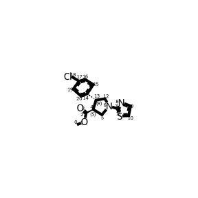 COC(=O)[C@@H]1CN(c2nccs2)C[C@H]1c1ccc(Cl)cc1